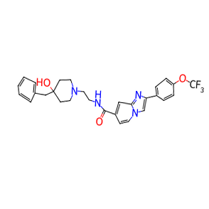 O=C(NCCN1CCC(O)(Cc2ccccc2)CC1)c1ccn2cc(-c3ccc(OC(F)(F)F)cc3)nc2c1